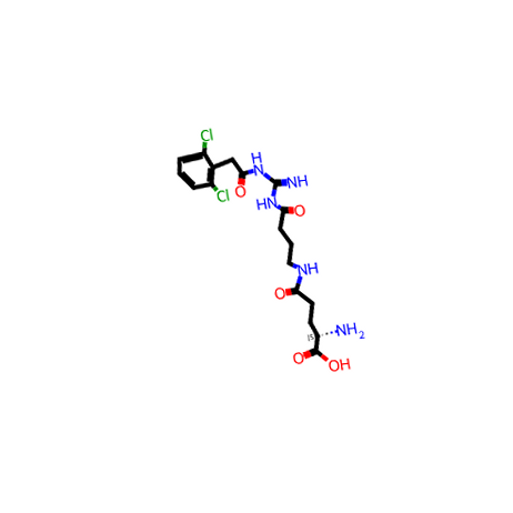 N=C(NC(=O)CCCNC(=O)CC[C@H](N)C(=O)O)NC(=O)Cc1c(Cl)cccc1Cl